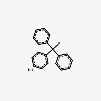 FC(c1ccccc1)(c1ccccc1)c1ccccc1.N